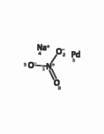 O=[N+]([O-])[O-].[Na+].[Pd]